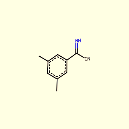 Cc1cc(C)cc(C(=N)C#N)c1